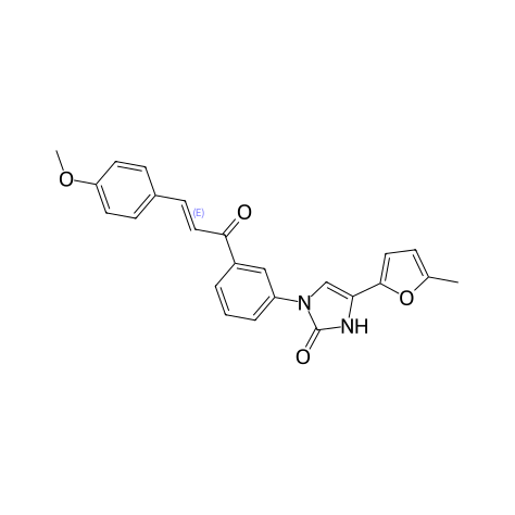 COc1ccc(/C=C/C(=O)c2cccc(-n3cc(-c4ccc(C)o4)[nH]c3=O)c2)cc1